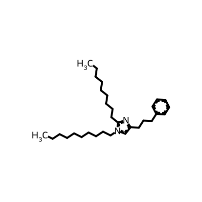 CCCCCCCCCCn1cc(CCCc2ccccc2)nc1CCCCCCCCC